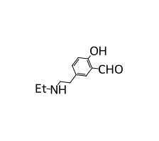 CCNCCc1ccc(O)c(C=O)c1